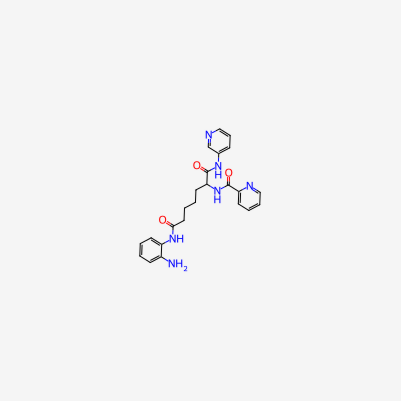 Nc1ccccc1NC(=O)CCCCC(NC(=O)c1ccccn1)C(=O)Nc1cccnc1